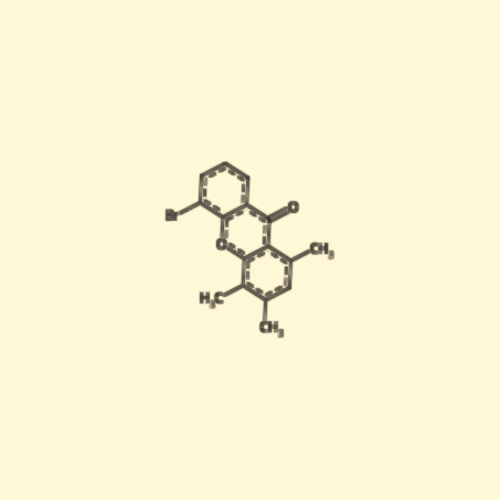 Cc1cc(C)c2c(=O)c3cccc(Br)c3oc2c1C